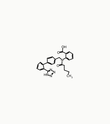 CCCCC(=O)N(Cc1ccc(-c2ccccc2-c2nnn[nH]2)cc1)c1ccccc1C(=O)O